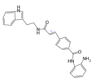 Nc1ccccc1NC(=O)c1ccc(/C=C/C(=O)NCCc2c[nH]c3ccccc23)cc1